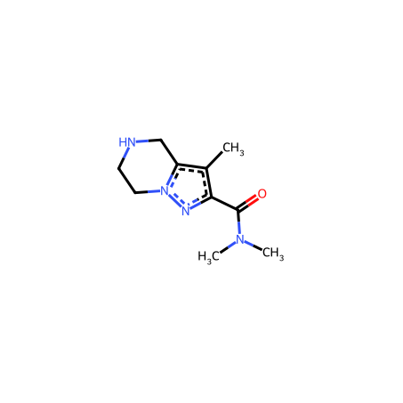 Cc1c(C(=O)N(C)C)nn2c1CNCC2